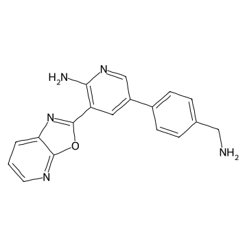 NCc1ccc(-c2cnc(N)c(-c3nc4cccnc4o3)c2)cc1